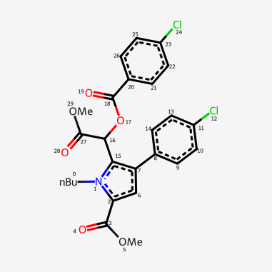 CCCCn1c(C(=O)OC)cc(-c2ccc(Cl)cc2)c1C(OC(=O)c1ccc(Cl)cc1)C(=O)OC